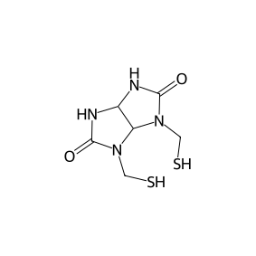 O=C1NC2NC(=O)N(CS)C2N1CS